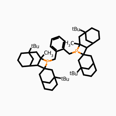 CC12CC3(C(C)(C)C)CCCC(C3)C1C1(CC3CCCC(C(C)(C)C)(C3)C1)P2Cc1ccccc1CP1C2(C)CC3(C(C)(C)C)CCCC(C3)C2C12CC1CCCC(C(C)(C)C)(C1)C2